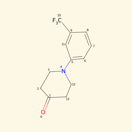 O=C1CCN(c2cccc(C(F)(F)F)c2)CC1